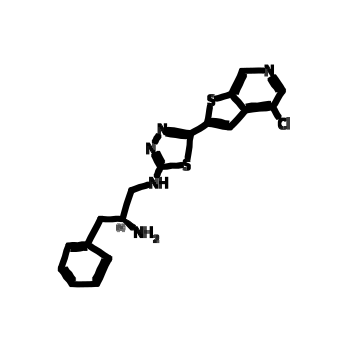 N[C@H](CNc1nnc(-c2cc3c(Cl)cncc3s2)s1)Cc1ccccc1